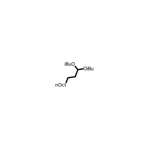 CCCCCCCCCCC(OCC(C)C)OCC(C)C